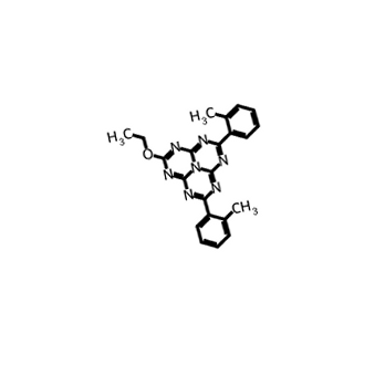 CCOC1=NC2=NC(c3ccccc3C)=NC3=NC(c4ccccc4C)=NC(=N1)N23